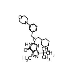 Cn1nc(C(C)(C)C)c2nc(N(Cc3cccc(N4CCOCC4)c3)CC3CCCCC3)[nH]c(=O)c21